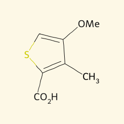 COc1csc(C(=O)O)c1C